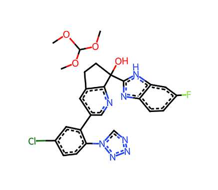 COC(OC)OC.OC1(c2nc3ccc(F)cc3[nH]2)CCc2cc(-c3cc(Cl)ccc3-n3cnnn3)cnc21